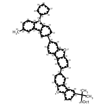 CCCCCCCCC(C)(C)c1ccc2oc3ccc(-c4ccc5oc6cc(-c7ccc8c(c7)c7cc(C)ccc7n8-c7ccccc7)ccc6c5c4)cc3c2c1